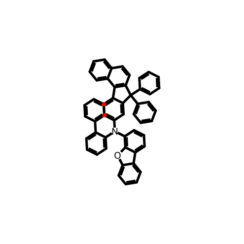 c1ccc(-c2ccccc2N(c2ccc3c(c2)C(c2ccccc2)(c2ccccc2)c2ccc4ccccc4c2-3)c2cccc3c2oc2ccccc23)cc1